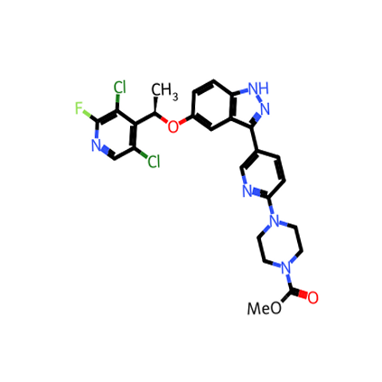 COC(=O)N1CCN(c2ccc(-c3n[nH]c4ccc(O[C@H](C)c5c(Cl)cnc(F)c5Cl)cc34)cn2)CC1